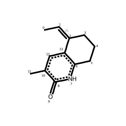 C/C=C1/CCCc2[nH]c(=O)c(C)cc21